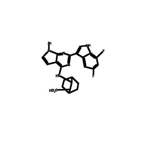 CC(=O)n1ccc2c(NC3C4CCC(CC4)C3C(=O)O)nc(-c3c[nH]c4c(F)cc(F)cc34)nc21